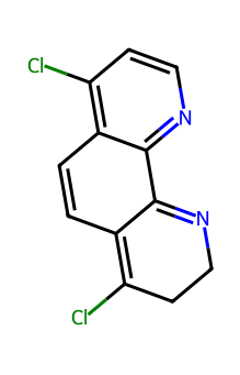 ClC1=c2ccc3c(Cl)ccnc3c2=NCC1